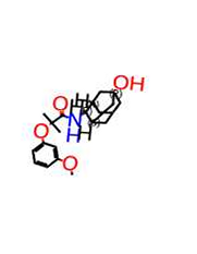 COc1cccc(OC(C)(C)C(=O)N[C@H]2[C@@H]3CC4C[C@H]2C[C@](O)(C4)C3)c1